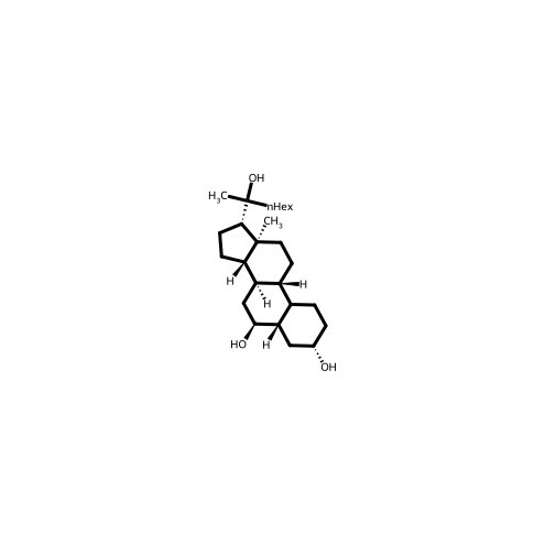 CCCCCCC(C)(O)[C@H]1CC[C@H]2[C@@H]3C[C@H](O)[C@H]4C[C@@H](O)CCC4[C@H]3CC[C@]12C